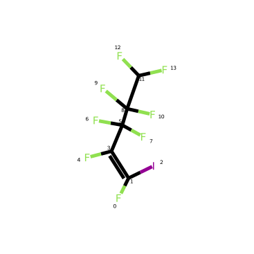 FC(I)=C(F)C(F)(F)C(F)(F)C(F)F